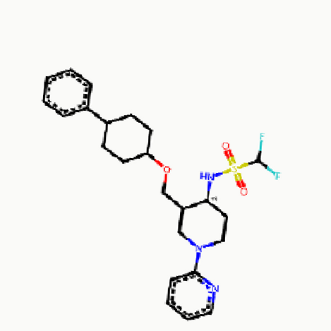 O=S(=O)(N[C@H]1CCN(c2ccccn2)CC1COC1CCC(c2ccccc2)CC1)C(F)F